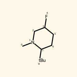 CN1CC(F)CCC1C(C)(C)C